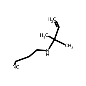 C=CC(C)(C)NCCCN=O